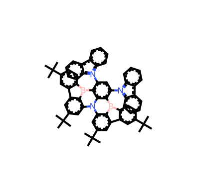 CC(C)(C)c1ccc2c(c1)-c1cc(C(C)(C)C)cc3c1B2c1c(-n2c4ccccc4c4ccccc42)cc(-n2c4ccccc4c4ccccc42)c2c1N3c1cc(C(C)(C)C)cc3c1B2c1ccc(C(C)(C)C)cc1-3